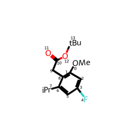 COc1cc(F)cc(C(C)C)c1CC(=O)OC(C)(C)C